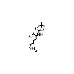 CC(C)(C)OC(=O)NC([C]=O)CCCCN